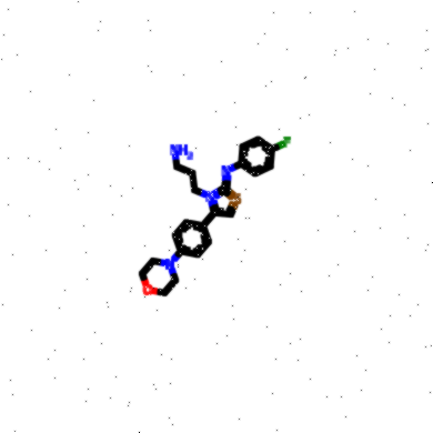 NCCCn1c(-c2ccc(N3CCOCC3)cc2)cs/c1=N\c1ccc(F)cc1